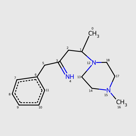 CC(CC(=N)Cc1ccccc1)N1CCN(C)CC1